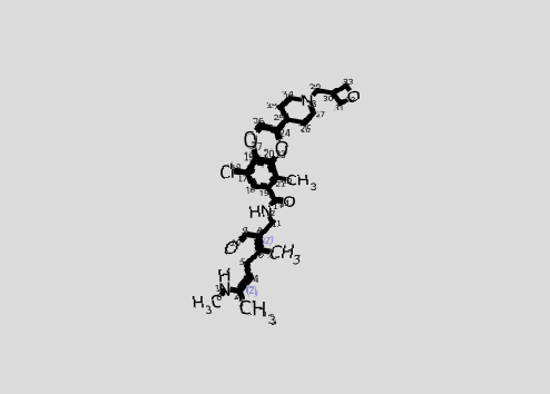 CN/C(C)=C\C/C(C)=C(\C=O)CNC(=O)c1cc(Cl)c2c(c1C)OC(C1CCN(CC3COC3)CC1)CO2